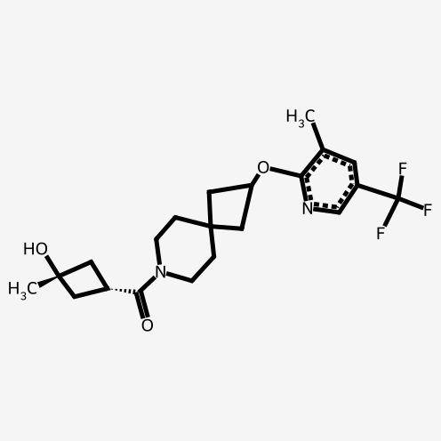 Cc1cc(C(F)(F)F)cnc1OC1CC2(CCN(C(=O)[C@H]3C[C@@](C)(O)C3)CC2)C1